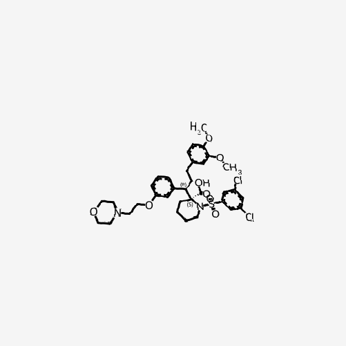 COc1ccc(CC[C@H](c2cccc(OCCN3CCOCC3)c2)[C@]2(C(=O)O)CCCCN2S(=O)(=O)c2cc(Cl)cc(Cl)c2)cc1OC